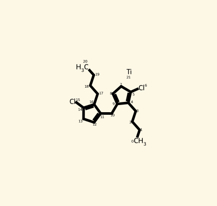 CCCCC1=C(Cl)CC=C1CC1=CCC(Cl)=C1CCCC.[Ti]